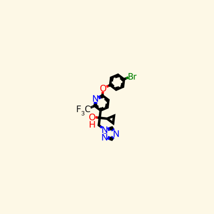 OC(Cn1cncn1)(c1ccc(Oc2ccc(Br)cc2)nc1C(F)(F)F)C1CC1